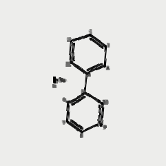 [Ir+3].c1ccc(-c2cccnc2)cc1